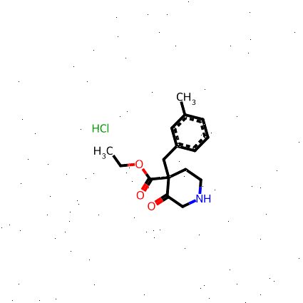 CCOC(=O)C1(Cc2cccc(C)c2)CCNCC1=O.Cl